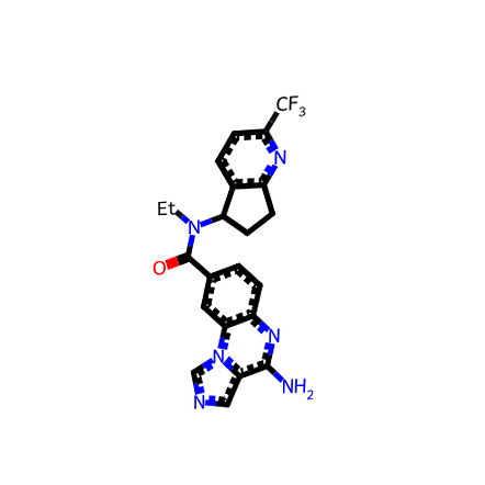 CCN(C(=O)c1ccc2nc(N)c3cncn3c2c1)C1CCc2nc(C(F)(F)F)ccc21